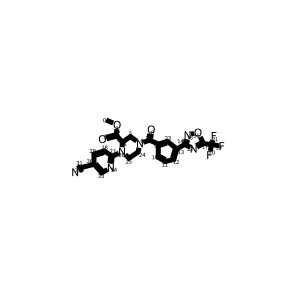 COC(=O)C1CN(C(=O)c2cccc(-c3noc(C(F)(F)F)n3)c2)CCN1c1ccc(C#N)cn1